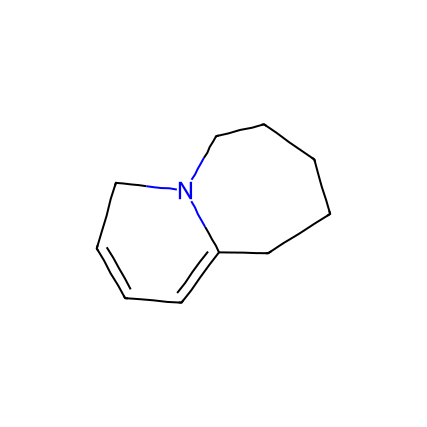 C1=CCN2CCCCCC2=C1